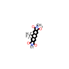 CCN1C(=O)C2=CC3CC4C=C5C(=O)N(C)C(=O)C5=CC4C(C)(C(F)(F)F)C3C=C2C1=O